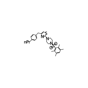 CCCc1ccc(Cc2csc(N3CCN(S(=O)(=O)c4c(C)c(C)cc(C)c4C)CC3)n2)cc1